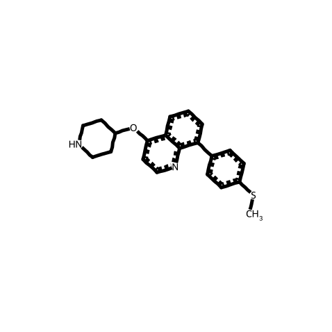 CSc1ccc(-c2cccc3c(OC4CCNCC4)ccnc23)cc1